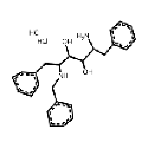 Cl.Cl.NC(Cc1ccccc1)C(O)C(O)C(Cc1ccccc1)NCc1ccccc1